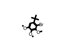 COc1cc(C(C)(C)C)c(Br)c(OC)c1OC